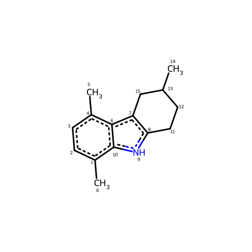 Cc1ccc(C)c2c3c([nH]c12)CCC(C)C3